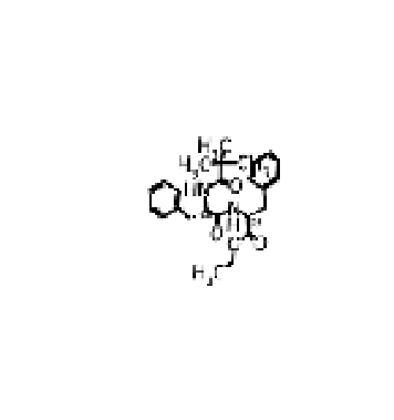 CCOC(=O)[C@H](Cc1ccccc1)NC(=O)[C@H](Cc1ccccc1)NC(=O)C(C)(C)C